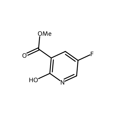 COC(=O)c1cc(F)cnc1O